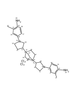 Cc1cc(N2CCC([N+]34CC[N+](C5CCN(c6ccc(N)c(C)c6)C5)(CC3)CC4)C2)ccc1N.[Cl-].[Cl-]